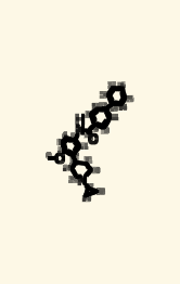 COc1ccc(NC(=O)c2ccc(-c3ccccc3)cc2)cc1C1CCN(C2CC2)CC1